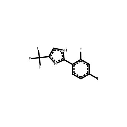 Fc1cc(I)ccc1-c1nc(C(F)(F)F)c[nH]1